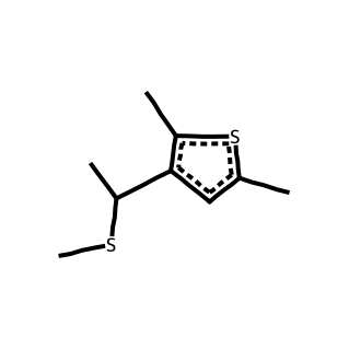 CSC(C)c1cc(C)sc1C